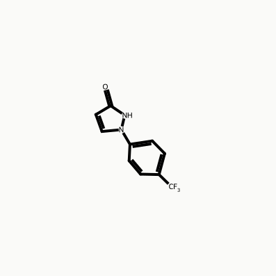 O=c1ccn(-c2ccc(C(F)(F)F)cc2)[nH]1